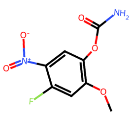 COc1cc(F)c([N+](=O)[O-])cc1OC(N)=O